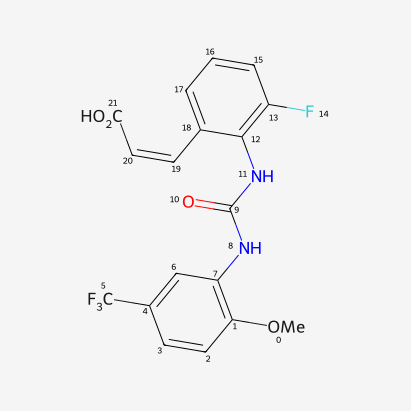 COc1ccc(C(F)(F)F)cc1NC(=O)Nc1c(F)cccc1/C=C\C(=O)O